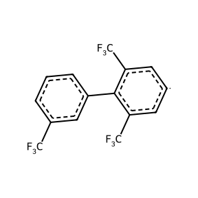 FC(F)(F)c1cccc(-c2c(C(F)(F)F)c[c]cc2C(F)(F)F)c1